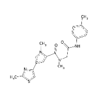 Cc1ccc(NC(=O)CN(C)C(=O)c2cc(-c3csc(C)n3)cn2C)cc1